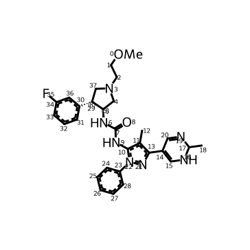 COCCN1C[C@@H](NC(=O)Nc2c(C)c(C3=CNC(C)N=C3)nn2-c2ccccc2)[C@H](c2cccc(F)c2)C1